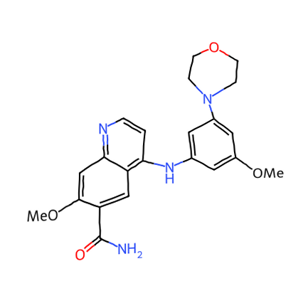 COc1cc(Nc2ccnc3cc(OC)c(C(N)=O)cc23)cc(N2CCOCC2)c1